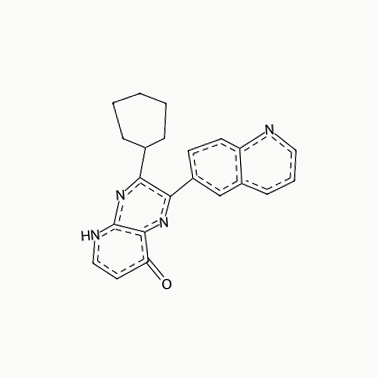 O=c1cc[nH]c2nc(C3CCCCC3)c(-c3ccc4ncccc4c3)nc12